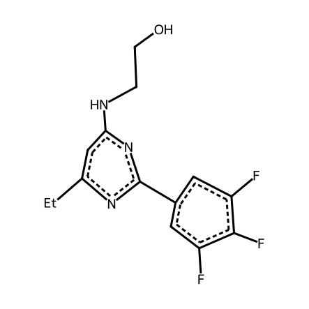 CCc1cc(NCCO)nc(-c2cc(F)c(F)c(F)c2)n1